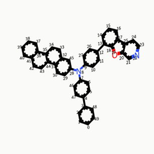 c1ccc(-c2ccc(N(c3ccc(-c4cccc5c4oc4cnccc45)cc3)c3ccc4c(ccc5c6ccccc6ccc45)c3)cc2)cc1